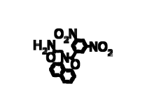 NC(=O)CN(C(=O)c1cc([N+](=O)[O-])cc([N+](=O)[O-])c1)c1cccc2ccccc12